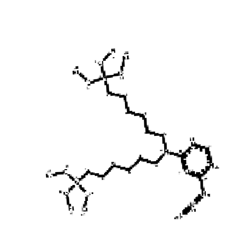 CCO[Si](CCCCCCN(CCCCCC[Si](OCC)(OCC)OCC)c1ncnc(N=[N+]=[N-])n1)(OCC)OCC